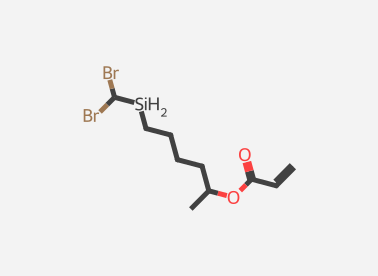 C=CC(=O)OC(C)CCCC[SiH2]C(Br)Br